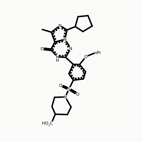 CCCOc1ccc(S(=O)(=O)N2CCC(C(=O)O)CC2)cc1-c1nn2c(C3CCCC3)nc(C)c2c(=O)[nH]1